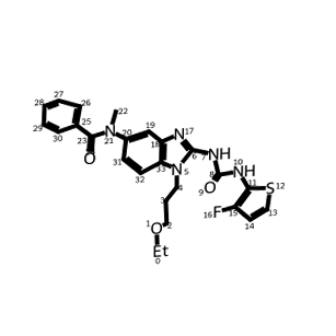 CCOCCCn1c(NC(=O)Nc2sccc2F)nc2cc(N(C)C(=O)c3ccccc3)ccc21